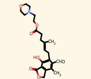 C/C(=C\Cc1c(O)c2c(c(C)c1C=O)COC2=O)CCC(=O)OCCN1CCOCC1